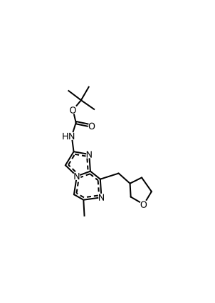 Cc1cn2cc(NC(=O)OC(C)(C)C)nc2c(CC2CCOC2)n1